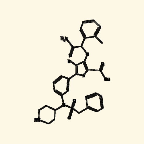 Cc1ccccc1C(Oc1c(C(=O)O)sc(-c2cccc(N(C3CCNCC3)S(=O)(=O)Cc3ccccc3)c2)c1Br)C(N)=O